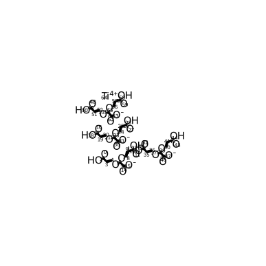 O=C(O)C=COC(OC=CC(=O)O)C(=O)[O-].O=C(O)C=COC(OC=CC(=O)O)C(=O)[O-].O=C(O)C=COC(OC=CC(=O)O)C(=O)[O-].O=C(O)C=COC(OC=CC(=O)O)C(=O)[O-].[Ti+4]